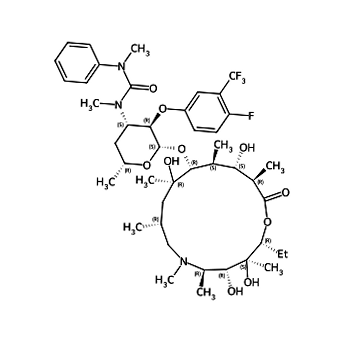 CC[C@H]1OC(=O)[C@H](C)[C@@H](O)[C@H](C)[C@@H](O[C@@H]2O[C@H](C)C[C@H](N(C)C(=O)N(C)c3ccccc3)[C@H]2Oc2ccc(F)c(C(F)(F)F)c2)[C@](C)(O)C[C@@H](C)CN(C)[C@H](C)[C@@H](O)[C@]1(C)O